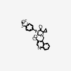 O=C1N(c2ccc(SC(F)(F)F)cc2)C(=O)C2(CC2)N1Cc1c(Cl)cnc2ccccc12